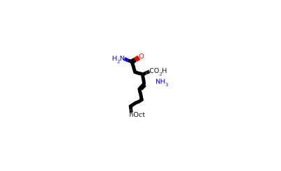 CCCCCCCCCCC=CC(CC(N)=O)C(=O)O.N